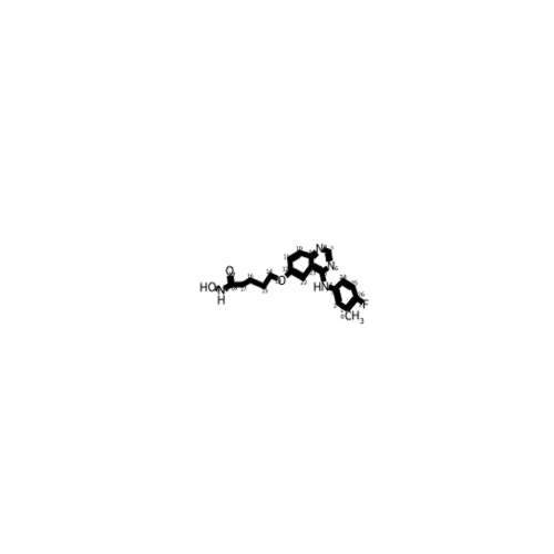 Cc1cc(Nc2ncnc3ccc(OCCCCC(=O)NO)cc23)ccc1F